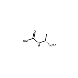 CN[C@@H](C)NC(=O)C(C)(C)C